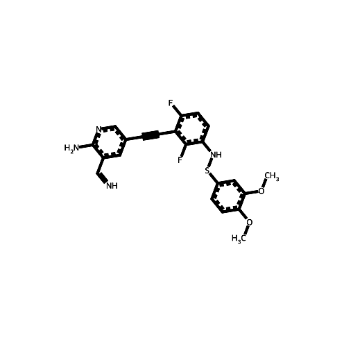 COc1ccc(SNc2ccc(F)c(C#Cc3cnc(N)c(C=N)c3)c2F)cc1OC